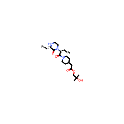 CC(C)C[C@@H]1NCCN([C@@H](CC(C)C)C(=O)N2CCC(CC(=O)OCC(C)(C)O)CC2)C1=O